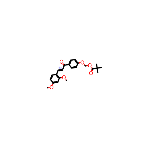 COc1ccc(/C=C/C(=O)c2ccc(OCOC(=O)C(C)(C)C)cc2)c(OC)c1